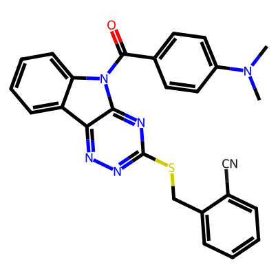 CN(C)c1ccc(C(=O)n2c3ccccc3c3nnc(SCc4ccccc4C#N)nc32)cc1